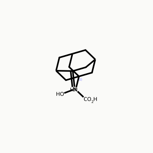 O=C(O)NC12CC3C/C(=N/O)C(CC(C3)C1)C2